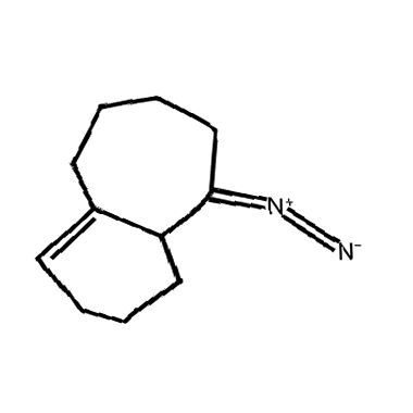 [N-]=[N+]=C1CCCCC2=CCCCC21